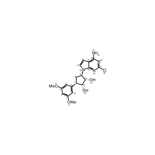 COc1cc(OC)cc([C@H]2C[C@@H](n3ccc4c(N)nc(Cl)nc43)[C@H](O)[C@@H]2O)c1